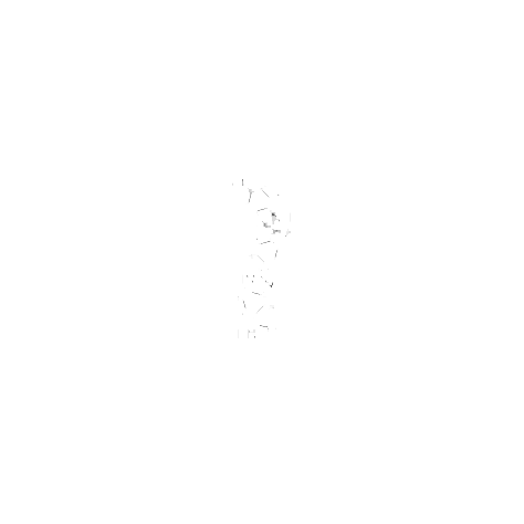 NC(=O)c1ccc2[nH]c(-c3ccc(S(=O)(=O)Nc4ccc(Cl)cc4)cc3)nc2c1